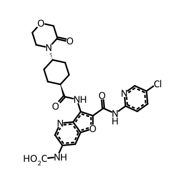 O=C(O)Nc1cnc2c(NC(=O)[C@H]3CC[C@H](N4CCOCC4=O)CC3)c(C(=O)Nc3ccc(Cl)cn3)oc2c1